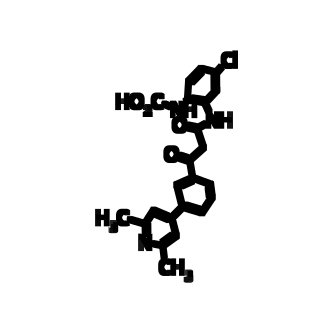 Cc1cc(-c2cccc(C(=O)CC(=O)Nc3cc(Cl)ccc3NC(=O)O)c2)cc(C)n1